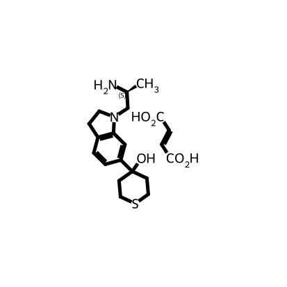 C[C@H](N)CN1CCc2ccc(C3(O)CCSCC3)cc21.O=C(O)C=CC(=O)O